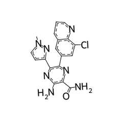 Cn1ccc(-c2nc(N)c(C(N)=O)nc2-c2cc(Cl)c3ncccc3c2)n1